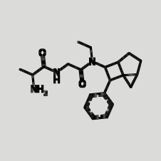 CCN(C(=O)CNC(=O)C(C)N)C1C2CCC3CC32C1c1ccccc1